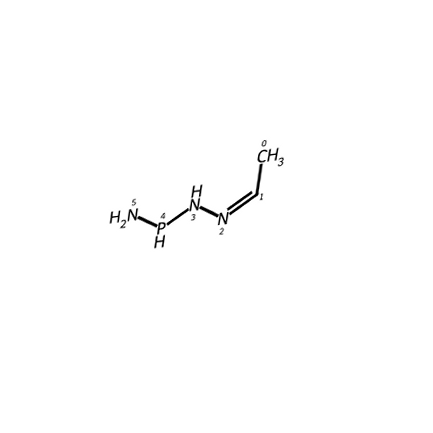 C/C=N\NPN